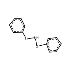 c1ccc(ONOc2ccccc2)cc1